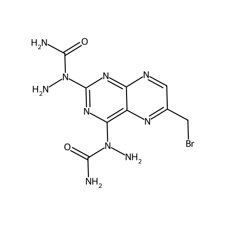 NC(=O)N(N)c1nc(N(N)C(N)=O)c2nc(CBr)cnc2n1